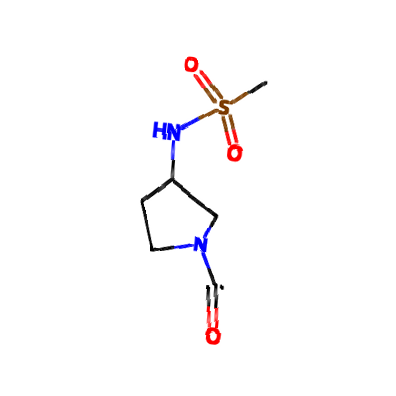 CS(=O)(=O)NC1CCN([C]=O)C1